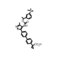 Cc1noc(-c2ccc(-c3ccc(C4(C(=O)O)CC4)cc3)cc2)c1NC(=O)OC(C)c1ccc[c]([Sn]([CH3])([CH3])[CH3])c1